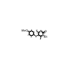 CCn1c(C)c(Cc2ccc(OC)cc2)c(C)nc1=O